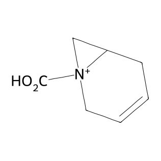 O=C(O)[N+]12CC=CCC1C2